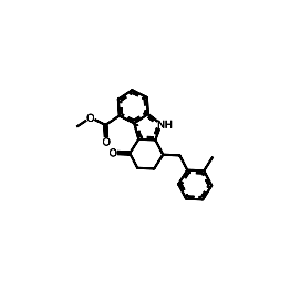 COC(=O)c1cccc2[nH]c3c(c12)C(=O)CCC3Cc1ccccc1C